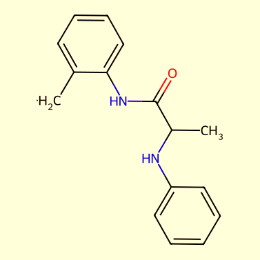 [CH2]c1ccccc1NC(=O)C(C)Nc1ccccc1